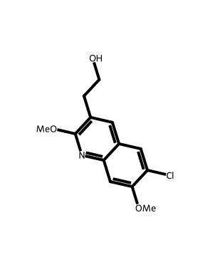 COc1cc2nc(OC)c(CCO)cc2cc1Cl